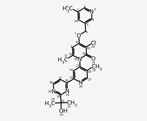 Cc1cncc(COc2cc(C)n(-c3cc(-c4ccnc(C(C)(C)O)n4)ncc3C)c(=O)c2Cl)c1